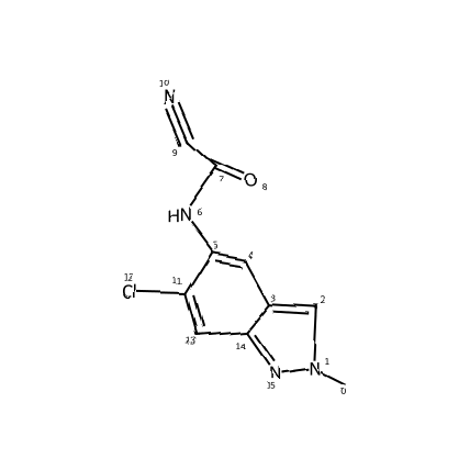 Cn1cc2cc(NC(=O)C#N)c(Cl)cc2n1